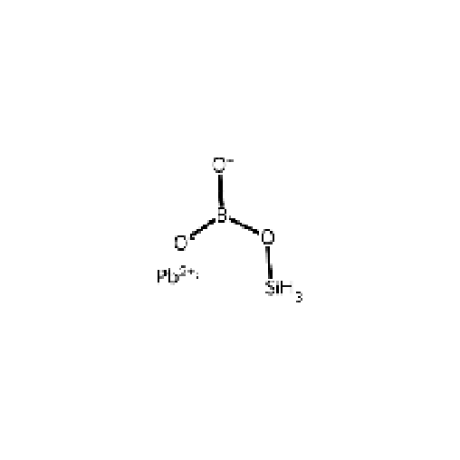 [O-]B([O-])O[SiH3].[Pb+2]